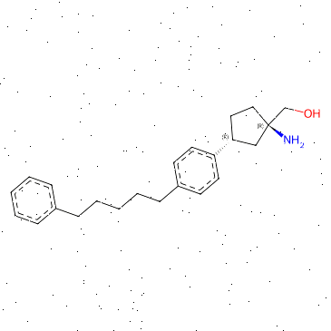 N[C@]1(CO)CC[C@@H](c2ccc(CCCCCc3ccccc3)cc2)C1